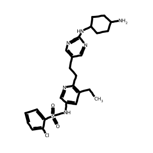 CCc1cc(NS(=O)(=O)c2ccccc2Cl)cnc1CCc1cnc(NC2CCC(N)CC2)nc1